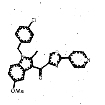 COc1ccc2c(c1)c(C(=O)c1coc(-c3ccncc3)n1)c(C)n2Cc1ccc(Cl)cc1